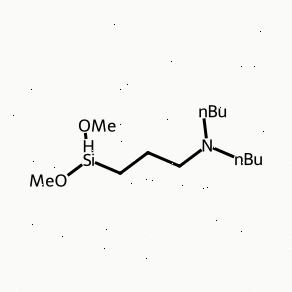 CCCCN(CCCC)CCC[SiH](OC)OC